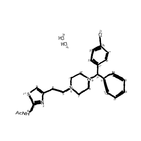 CC(=O)Nc1nc(CCN2CCN(C(c3ccccc3)c3ccc(Cl)cc3)CC2)cs1.Cl.Cl